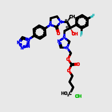 C[C@@H](N1CCN(c2ccc(-n3cnnn3)cc2)C1=O)[C@](O)(CN1CN(COC(=O)OCCCC(=O)O)C=N1)c1ccc(F)cc1F.Cl